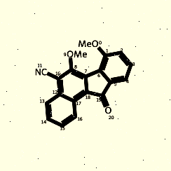 COc1cccc2c1-c1c(OC)c(C#N)c3ccccc3c1C2=O